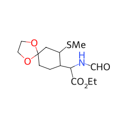 CCOC(=O)C(NC=O)C1CCC2(CC1SC)OCCO2